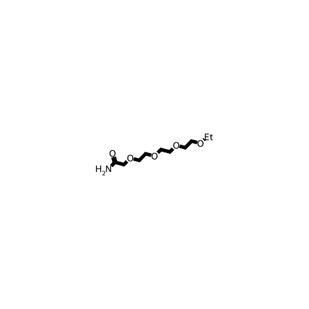 CCOCCOCCOCCOCC(N)=O